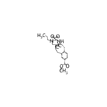 CCCN1CC2(NS1(=O)=O)C1CCC2Cc2cc(C(=O)OC)ccc2C1